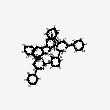 Cc1ccc2c(c1)c1ccccc1n2-c1c(-c2nc(-c3ccccc3)cc(-c3ccccc3)n2)cccc1-c1nc(-c2ccccc2)cc(-c2ccccc2)n1